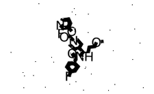 COCCC[C@@H](NC(=O)c1ccc(F)cc1)C1CCN(C(=O)Oc2cccnc2F)CC1